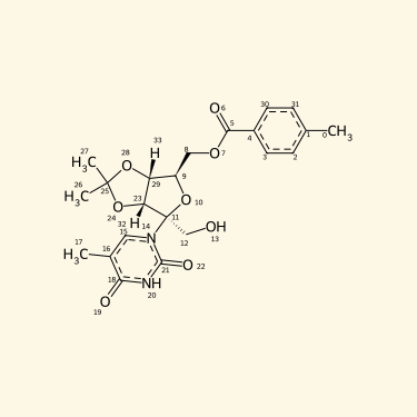 Cc1ccc(C(=O)OC[C@H]2O[C@@](CO)(n3cc(C)c(=O)[nH]c3=O)[C@@H]3OC(C)(C)O[C@@H]32)cc1